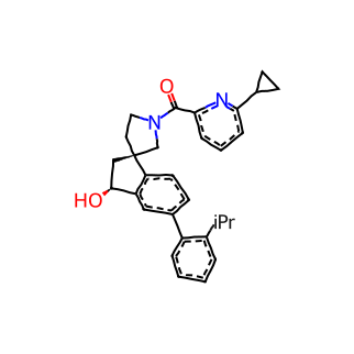 CC(C)c1ccccc1-c1ccc2c(c1)[C@@H](O)C[C@]21CCN(C(=O)c2cccc(C3CC3)n2)C1